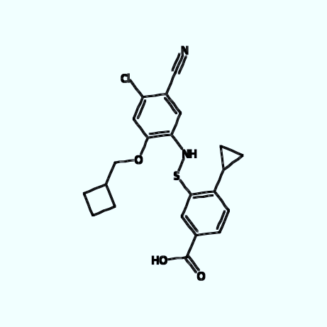 N#Cc1cc(NSc2cc(C(=O)O)ccc2C2CC2)c(OCC2CCC2)cc1Cl